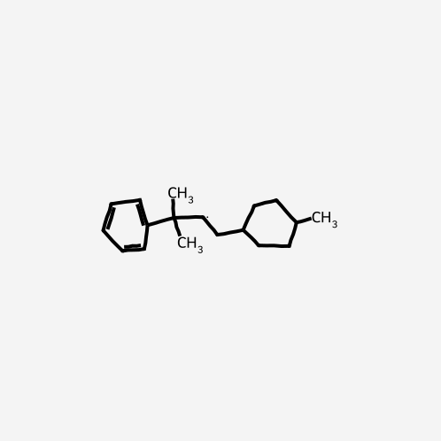 CC1CCC(C[CH]C(C)(C)c2ccccc2)CC1